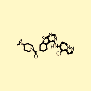 CN(C)C1CCN(C(=O)[C@H]2CCc3c(sc4ncnc(Nc5ccn6nccc6c5Cl)c34)C2)CC1